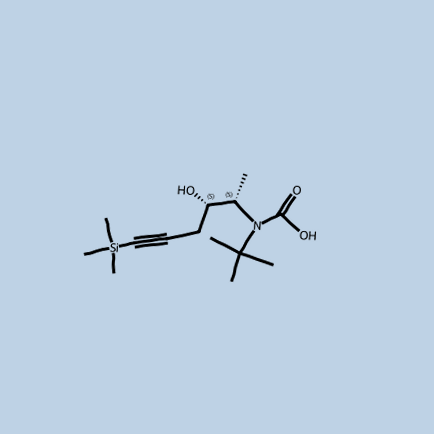 C[C@@H]([C@@H](O)CC#C[Si](C)(C)C)N(C(=O)O)C(C)(C)C